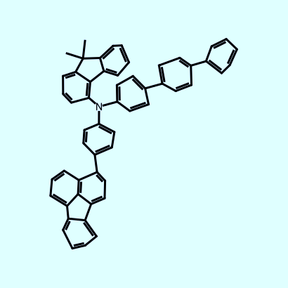 CC1(C)c2ccccc2-c2c(N(c3ccc(-c4ccc(-c5ccccc5)cc4)cc3)c3ccc(-c4ccc5c6c(cccc46)-c4ccccc4-5)cc3)cccc21